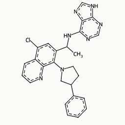 CC(Nc1ncnc2[nH]cnc12)c1cc(Cl)c2cccnc2c1N1CCC(c2ccccc2)C1